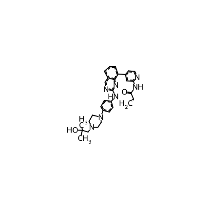 C=CC(=O)Nc1cc(-c2cccc3cnc(Nc4ccc(N5CCN(CC(C)(C)O)CC5)cc4)nc23)ccn1